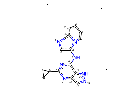 c1ccn2c(Nc3nc(C4CC4)nc4cn[nH]c34)cnc2c1